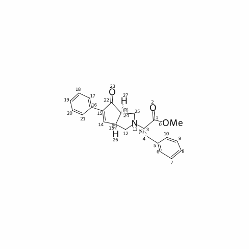 COC(=O)[C@H](Cc1ccccc1)N1C[C@H]2C=C(c3ccccc3)C(=O)[C@H]2C1